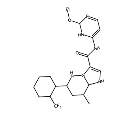 CCOC1N=CC=C(NC(=O)C2=CNC3C(C)CC(C4CCCCC4C(F)(F)F)NN23)N1